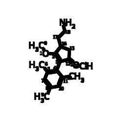 COC1=C(c2c(C)cc(C)cc2C)C(=O)CC1CCN.Cl